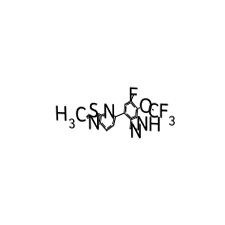 Cc1nc2ccc(-c3cc(F)c(OC(F)(F)F)c4[nH]ncc34)nc2s1